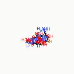 CC(C)C[C@H](NC(=O)[C@H](C)NC(=O)[C@H](CC(C)C)NC(=O)[C@H](CC(=O)O)NC(=O)[C@H](CS)NC(=O)[C@H](CO)NC(=O)[C@@H](N)CCCNC(=N)N)C(=O)N[C@@H](CC(C)C)C(=O)N[C@@H](CCC(=O)O)C(=O)N[C@H](C(=O)N[C@@H](Cc1ccc(O)cc1)C(=O)N[C@@H](CS)C(=O)N[C@@H](C)C(=O)O)[C@@H](C)O